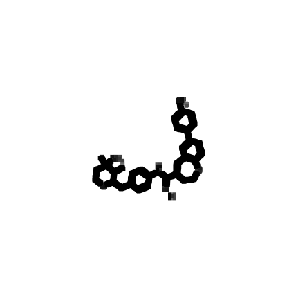 CC1C(Cc2ccc(NC(=O)C3=Cc4cc(-c5ccc(C(F)(F)F)cc5)ccc4OCC3)cc2)OCCC1(C)N.I